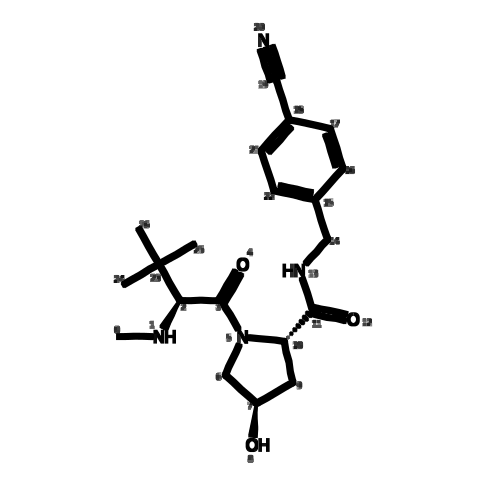 CN[C@H](C(=O)N1C[C@H](O)C[C@H]1C(=O)NCc1ccc(C#N)cc1)C(C)(C)C